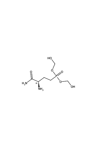 NC(=O)[C@H](N)CCP(=O)(OCO)OCO